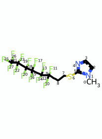 Cn1ccnc1SCCC(F)(F)C(F)(F)C(F)(F)C(F)(F)C(F)(F)C(F)(F)F